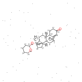 C[C@]12CC[C@H]3[C@@H](CCC4=CC(=O)CC[C@@]43C)[C@@H]1CC[C@@H]2OC1CCCCO1